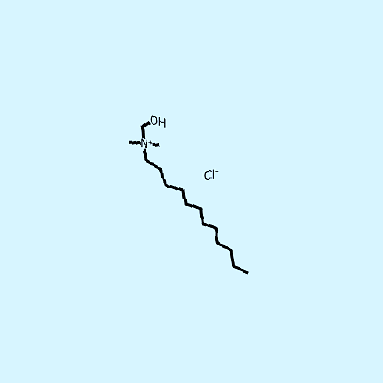 CCCCCCCCCCCC[N+](C)(C)CO.[Cl-]